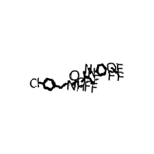 O=C(NCCc1ccc(Cl)cc1)Oc1cnn(-c2ccc(OC(F)(F)F)cc2)c1C(F)(F)F